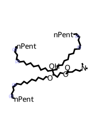 CCCCC/C=C\C/C=C\CCCCCCCCOC(CCOC(=O)CCCN(C)C)C(O)(CCCCCCCC/C=C\C/C=C\CCCCC)CCCCCCCC/C=C\C/C=C\CCCCC